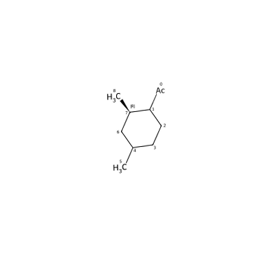 CC(=O)C1CCC(C)C[C@H]1C